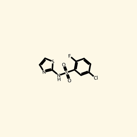 O=S(=O)(Nc1nccs1)c1cc(Cl)ccc1F